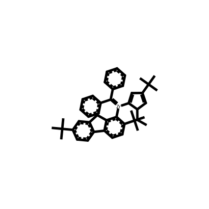 CCC1C=C(C(C)(C)C)C=[C]1[Zr](=[C](c1ccccc1)c1ccccc1)[c]1c(C(C)(C)C)ccc2c1Cc1cc(C(C)(C)C)ccc1-2